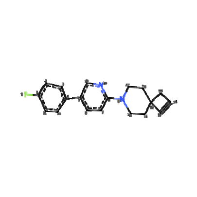 Fc1ccc(-c2ccc(N3CCC4(C#CC4)CC3)nc2)cc1